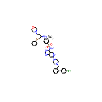 O=[N+]([O-])c1cc(S(=O)(=O)Nc2ncnc3cc(N4CCN(Cc5ccccc5-c5ccc(Cl)cc5)CC4)ncc23)ccc1NC(CCN1CCOCC1)CSc1ccccc1